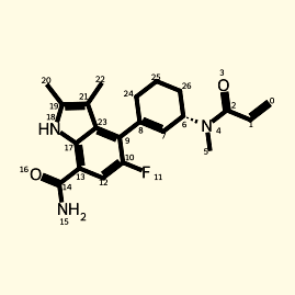 C=CC(=O)N(C)[C@@H]1C=C(c2c(F)cc(C(N)=O)c3[nH]c(C)c(C)c23)CCC1